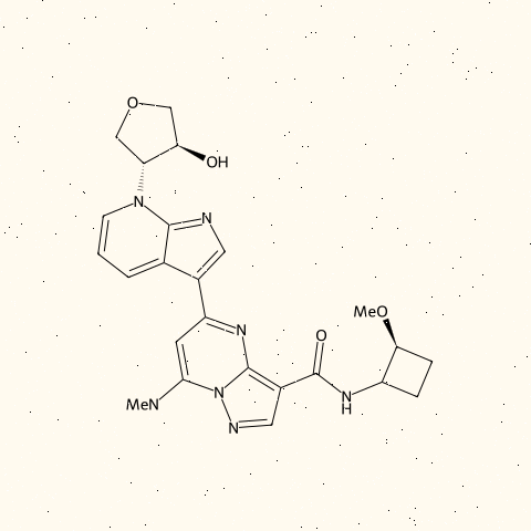 CNc1cc(-c2cnc3n([C@@H]4COC[C@H]4O)cccc2-3)nc2c(C(=O)NC3CC[C@@H]3OC)cnn12